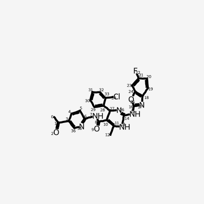 CC(=O)c1ccc(NC(=O)C2=C(C)NC(Nc3nc4ccc(F)cc4o3)=NC2c2ccccc2Cl)nc1